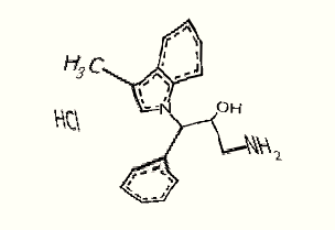 Cc1cn(C(c2ccccc2)C(O)CN)c2ccccc12.Cl